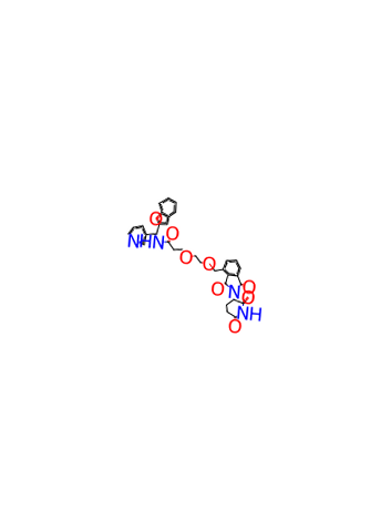 O=C1CCC(N2C(=O)c3cccc(COCCOCCC(=O)NC(c4cccnc4)c4cc5ccccc5o4)c3C2=O)C(=O)N1